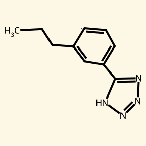 CCCc1[c]ccc(-c2nnn[nH]2)c1